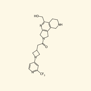 O=C(CC1CN(c2ccnc(C(F)(F)F)c2)C1)N1Cc2nc(CO)c3c(c2C1)CNCC3